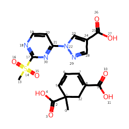 CC1(C(=O)O)C=CC=C(C(=O)O)C1.CS(=O)(=O)c1nccc(-n2cc(C(=O)O)cn2)n1